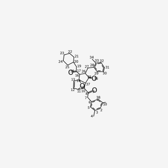 Cc1cc(C)cc(CC(=O)C2C3C=CC4(O3)C(C(=O)CC3CCCCC3)C(Cc3ccccc3C)C(=O)C24)c1